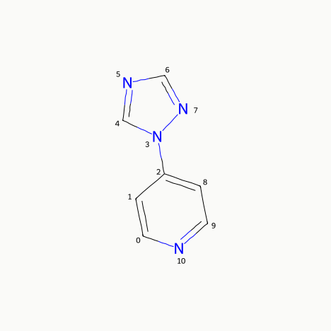 c1cc(-n2cncn2)ccn1